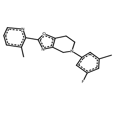 Cc1cc(F)cc(N2CCc3oc(-c4ncccc4C)nc3C2)c1